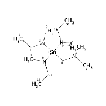 CC[N](C)[Sn]([CH2]C(C)C)([N](C)CC)[N](C)CC